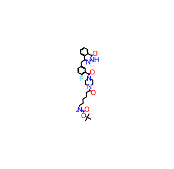 CN(CCCCCC(=O)N1CCN(C(=O)c2cc(Cc3n[nH]c(=O)c4ccccc34)ccc2F)CC1)C(=O)OC(C)(C)C